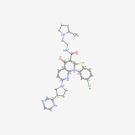 CC1CCCN1CCNC(=O)c1c(=O)c2ccc(N3CCC(c4cnccn4)C3)nc2n2c1sc1ccc(Cl)cc12